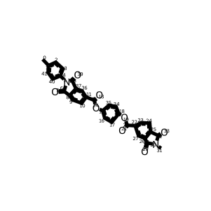 Cc1ccc(N2C(=O)c3ccc(C(=O)Oc4ccc(OC(=O)c5ccc6c(c5)C(=O)N(C)C6=O)cc4)cc3C2=O)cc1